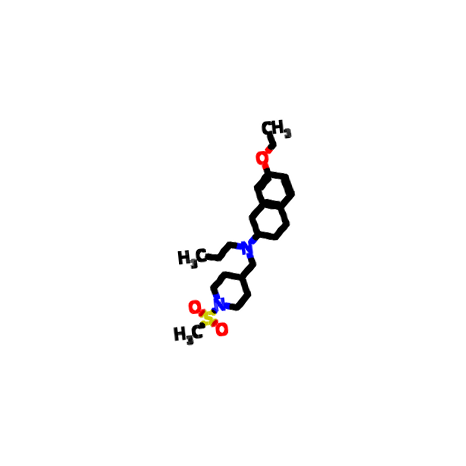 CCCN(CC1CCN(S(C)(=O)=O)CC1)C1CCc2ccc(OCC)cc2C1